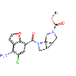 CC(C)(C)OC(=O)N1CC2C3CN(C(=O)c4cc(Cl)c(N)c5ccoc45)C23C1